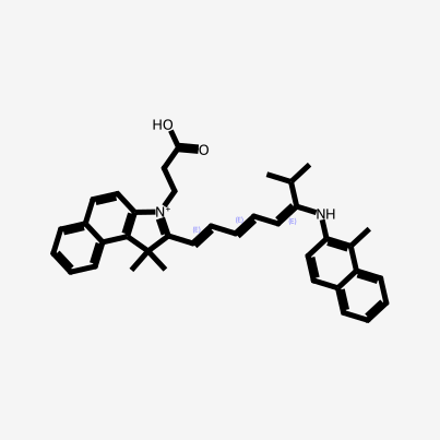 Cc1c(N/C(=C/C=C/C=C/C2=[N+](CCC(=O)O)c3ccc4ccccc4c3C2(C)C)C(C)C)ccc2ccccc12